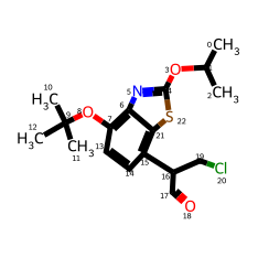 CC(C)Oc1nc2c(OC(C)(C)C)ccc(C(C=O)CCl)c2s1